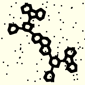 c1cncc(-c2cc(-c3ccc4c(ccc5cc(-c6cc(-c7cccnc7)cc(-n7c8ccccc8c8cnccc87)n6)ccc54)c3)nc(-n3c4ccccc4c4cnccc43)c2)c1